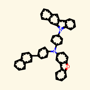 c1ccc2cc(-c3ccc(N(c4ccc(-n5c6ccccc6c6cc7ccccc7cc65)cc4)c4ccc5oc6ccccc6c5c4)cc3)ccc2c1